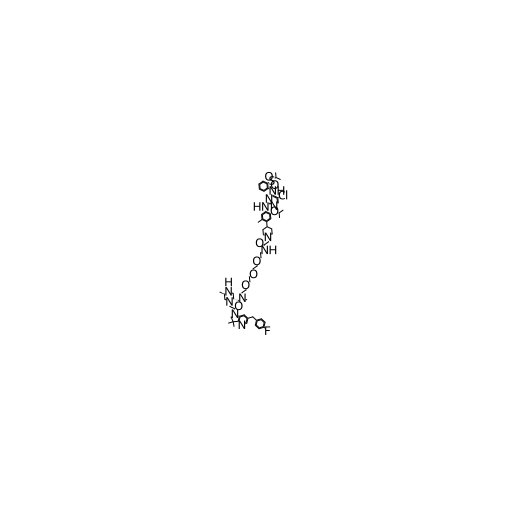 Cc1cc(Nc2ncc(Cl)c(Nc3ccccc3S(=O)(=O)C(C)C)n2)c(OC(C)C)cc1C1CCN(CC(=O)NCCOCCOCCOCCN(C)C[C@H]2CN[C@H](C)CN2CC(=O)N2CC(C)(C)c3ncc(Cc4ccc(F)cc4)cc32)CC1